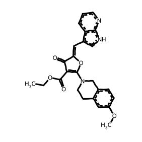 CCOC(=O)C1=C(N2CCc3cc(OC)ccc3C2)O/C(=C\c2c[nH]c3ncccc23)C1=O